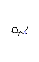 CCCN(C)CCC(C)C1CCCCCCC1